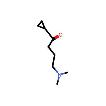 CN(C)CCCC(=O)C1CC1